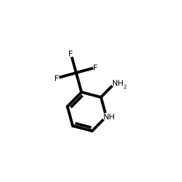 NC1NC=CC=C1C(F)(F)F